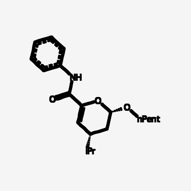 CCCCCO[C@@H]1C[C@H](C(C)C)C=C(C(=O)Nc2ccccc2)O1